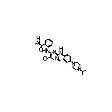 C=N/C(=N\C(Nc1ccccc1C(=O)NC)=C(/C)Cl)Nc1ccc(N2CCN(C(C)C)CC2)cc1